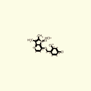 CCn1c(C)c(C)c2nccc(OCc3ccc(Cl)cc3Cl)c21.Cl